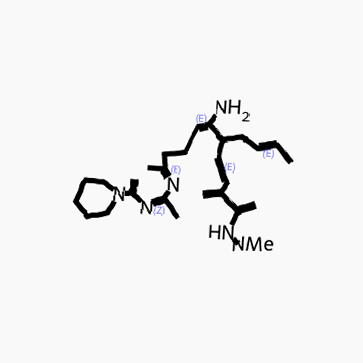 C=C(/C=C/C(C/C=C/C)/C(N)=C\CC/C(C)=N/C(C)=N\C(=C)N1CCCCC1)C(=C)NNC